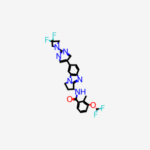 Cc1c(OC(F)F)cccc1C(=O)N[C@@H]1CCn2c1nc1ccc(-c3cnc(N4CC(F)(F)C4)nc3)cc12